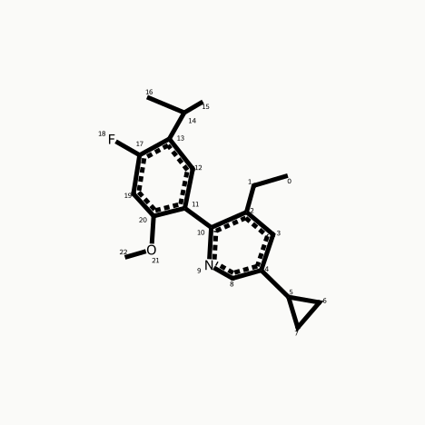 CCc1cc(C2CC2)cnc1-c1cc(C(C)C)c(F)cc1OC